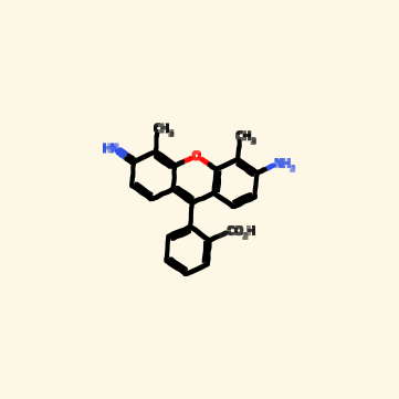 Cc1c2oc3c(C)c(N)ccc3c(-c3ccccc3C(=O)O)c-2ccc1=N